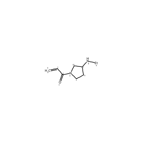 C=CC(=O)N1CCC(NCC)C1